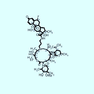 CC[C@H]1OC(=O)[C@H](C)[C@@H](O[C@@H]2C[C@](C)(OC)[C@H](O)C(C)O2)[C@H](C)[C@@H](O[C@@H]2O[C@H](C)C[C@@H](N(C)C)[C@H]2O)[C@](C)(O)C[C@@H](C)CN(CCCNC(=O)[C@@]2(O)[C@H](C)CC3C4C[C@H](F)C5=CC(=O)C=C[C@]5(C)[C@@]4(Cl)[C@@H](O)C[C@@]32C)[C@H](C)[C@@H](O)[C@]1(C)O